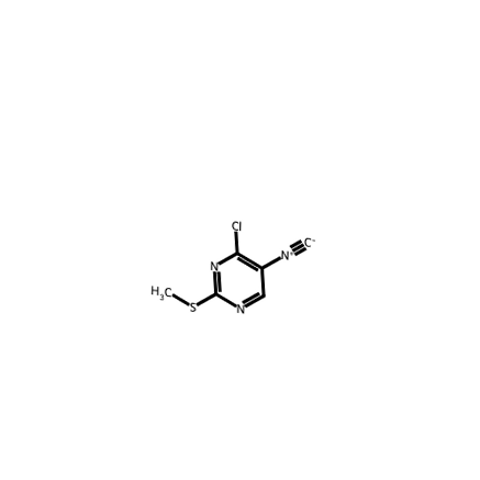 [C-]#[N+]c1cnc(SC)nc1Cl